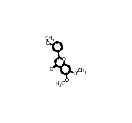 COc1cccc(-c2cc(=O)c3cc(OC)c(OC)cc3o2)c1